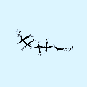 O=C(O)COC(F)(F)C(F)(F)OC(F)(F)C(F)(F)C(F)(F)F